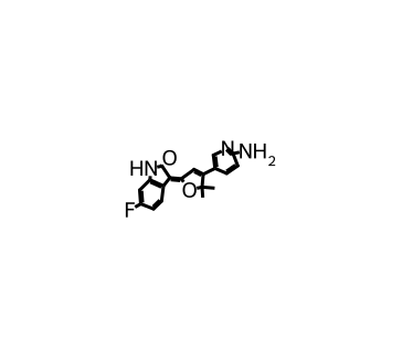 CC1(C)O/C(=C2/C(=O)Nc3cc(F)ccc32)C=C1c1ccc(N)nc1